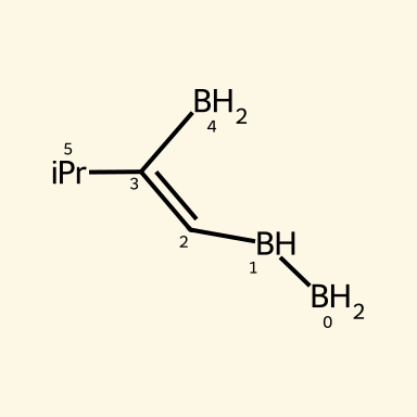 BB/C=C(\B)C(C)C